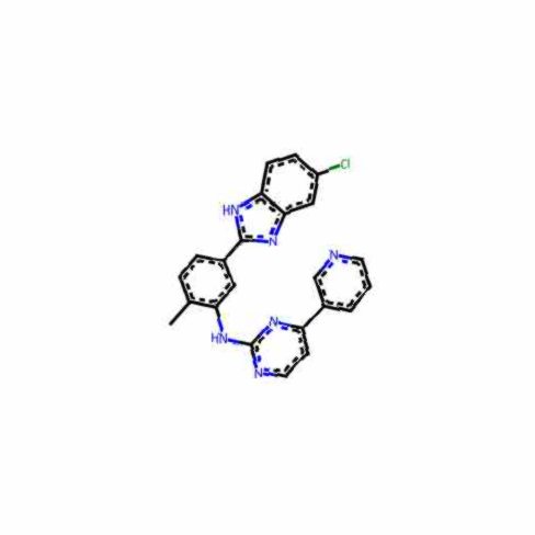 Cc1ccc(-c2nc3cc(Cl)ccc3[nH]2)cc1Nc1nccc(-c2cccnc2)n1